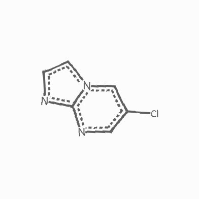 Clc1cnc2nccn2c1